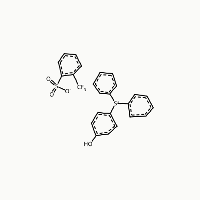 O=S(=O)([O-])c1ccccc1C(F)(F)F.Oc1ccc([S+](c2ccccc2)c2ccccc2)cc1